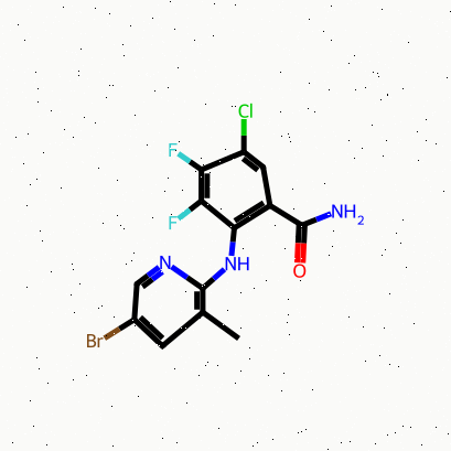 Cc1cc(Br)cnc1Nc1c(C(N)=O)cc(Cl)c(F)c1F